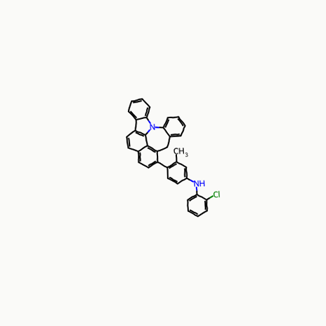 Cc1cc(Nc2ccccc2Cl)ccc1-c1ccc2ccc3c4ccccc4n4c3c2c1Cc1ccccc1-4